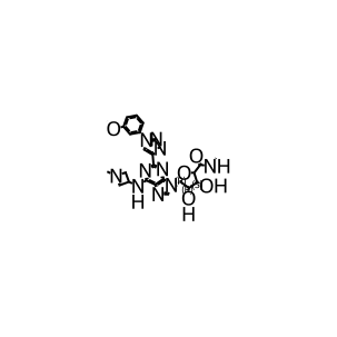 CNC(=O)C1O[C@@H](n2cnc3c(NC4CN(C)C4)nc(-c4cn(-c5cccc(OC)c5)nn4)nc32)[C@H](O)[C@@H]1O